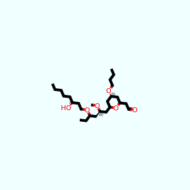 CCCCC[C@H](O)CCOC(CC)C[C@H](CC1C[C@H](OCCCC)CC(CC=O)O1)OC